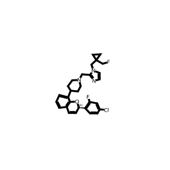 FCC1(Cn2ccnc2CN2CCC(c3cccc4c3O[C@@H](c3ccc(Cl)cc3F)C=C4)CC2)CC1